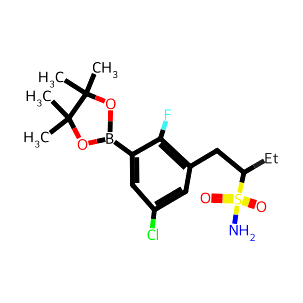 CCC(Cc1cc(Cl)cc(B2OC(C)(C)C(C)(C)O2)c1F)S(N)(=O)=O